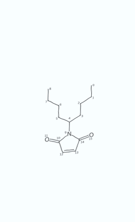 CCCCC(CCCC)N1C(=O)C=CC1=O